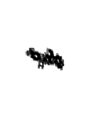 C/C=C(/c1ccc2nccn2n1)c1cnc(NC2CCC(F)(F)CC2)nc1C